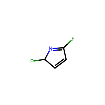 F[C]1C=CC(F)=N1